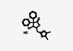 CCC1C(Cn2cc(C)c(C)n2)OC(=O)C1(c1ccccc1)c1ccccc1.Cl